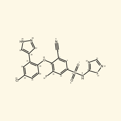 N#Cc1cc(S(=O)(=O)Nc2ncns2)cc(F)c1Oc1ccc(Cl)cc1-c1cn[nH]c1